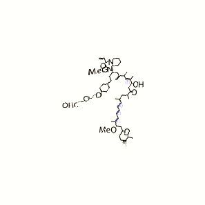 C=CC(=O)N1CCCCC1N(OC)C(CCC1CCC(OCCOCCC=O)CC1)CC(=C)C(C)/C=C(\C)C(O)CC(=O)C(C)CC(C)/C=C/C=C/C=C(\C)C(CC1CC[C@@H](C)C(C)O1)OC